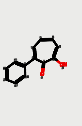 O=c1c(O)ccccc1-c1ccccc1